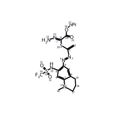 C=C(N=Nc1cc2c(cc1NS(=O)(=O)C(F)(F)F)N(C)CCC2)S/C(=N\N)C(=O)OCCC